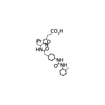 Cc1ccccc1NC(=O)Nc1ccc(CC(=O)NC(CC(C)C)c2cc(CCC(=O)O)on2)cc1